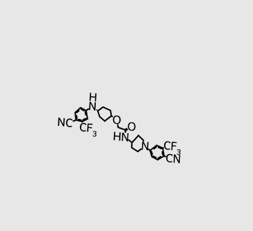 N#Cc1ccc(N[C@H]2CC[C@H](OCC(=O)NC3CCN(c4ccc(C#N)c(C(F)(F)F)c4)CC3)CC2)cc1C(F)(F)F